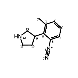 Cc1cccc([N+]#N)c1C1CCNC1